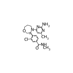 CNC(=O)c1ccc([C@H]2COCCCN2c2cc(C)nc(N)n2)c(Cl)c1